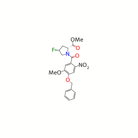 COC(=O)[C@H]1C[C@H](F)CN1C(=O)c1cc(OC)c(OCc2ccccc2)cc1[N+](=O)[O-]